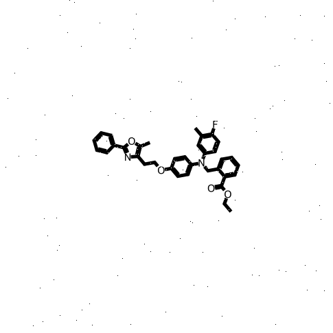 CCOC(=O)c1ccccc1CN(c1ccc(OCCc2nc(-c3ccccc3)oc2C)cc1)c1ccc(F)c(C)c1